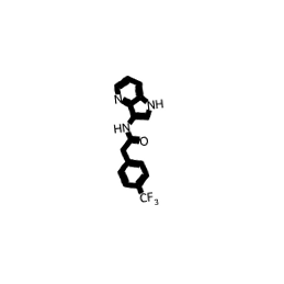 O=C(Cc1ccc(C(F)(F)F)cc1)Nc1c[nH]c2cccnc12